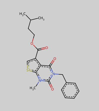 CC(C)CCOC(=O)c1csc2c1c(=O)n(Cc1ccccc1)c(=O)n2C